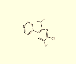 CC(C)c1nc(Cl)c(Br)cc1-c1ccncc1